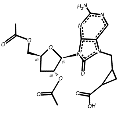 CC(=O)OC[C@@H]1C[C@@H](OC(C)=O)[C@H](n2c(=O)n(CC3CC3C(=O)O)c3cnc(N)nc32)O1